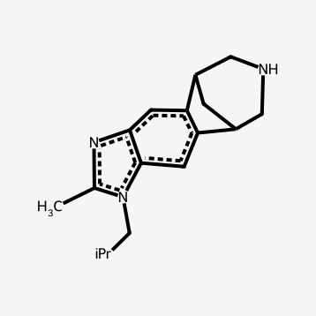 Cc1nc2cc3c(cc2n1CC(C)C)C1CNCC3C1